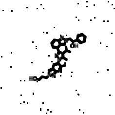 Cc1nc2nn(CCCO)cc2cc1-n1nc(-c2cccc3nn(C[C@H](O)c4ccccc4)cc23)c(C(C)C)c1C